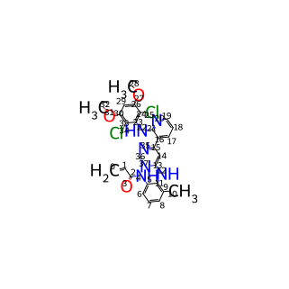 C=CC(=O)Nc1cccc(C)c1Nc1cc(-c2cccnc2Nc2c(Cl)c(OC)cc(OC)c2Cl)ncn1